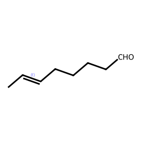 C/C=C/CCCCC=O